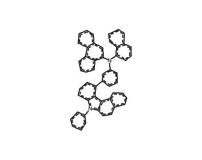 c1ccc(-n2c3cccc(-c4cccc(N(c5cccc6ccccc56)c5cc6ccccc6c6ccccc56)c4)c3c3c4ccccc4ccc32)cc1